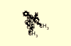 CCCN1CCC(C#N)(NC(=O)C(CC2CCCCC2)/N=C2\CN(/C=N\C(=O)OCC)CCO2)CC1